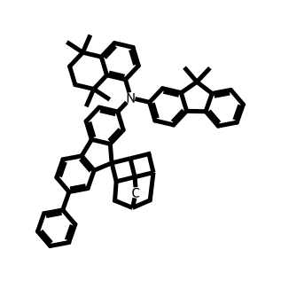 CC1(C)CCC(C)(C)c2c(N(c3ccc4c(c3)C(C)(C)c3ccccc3-4)c3ccc4c(c3)C3(c5cc(-c6ccccc6)ccc5-4)C4CC5CC6CC3C64C5)cccc21